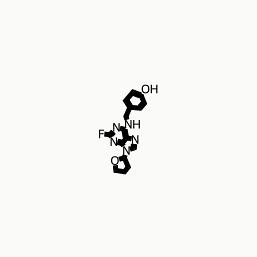 Oc1ccc(CNc2nc(F)nc3c2ncn3C2CCCO2)cc1